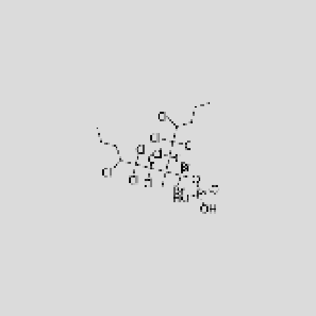 CCCC(Cl)C(Cl)(Cl)C(Cl)(Cl)C(C)(C(Br)(Br)OP(=O)(O)O)C(Cl)(Cl)C(Cl)(Cl)C(Cl)CCC